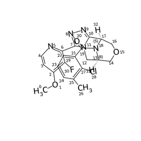 COc1ccnc(-c2nnc3n2C[C@@H]2COC[C@H]3N2C(=O)c2cccc(C)c2Cl)c1F